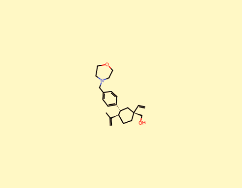 C=C[C@]1(CO)CC[C@@H](C(=C)C)[C@H](c2ccc(CN3CCOCC3)cc2)C1